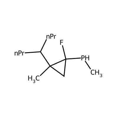 CCCC(CCC)C1(C)CC1(F)PC